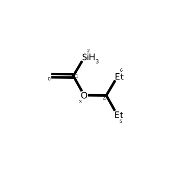 C=C([SiH3])OC(CC)CC